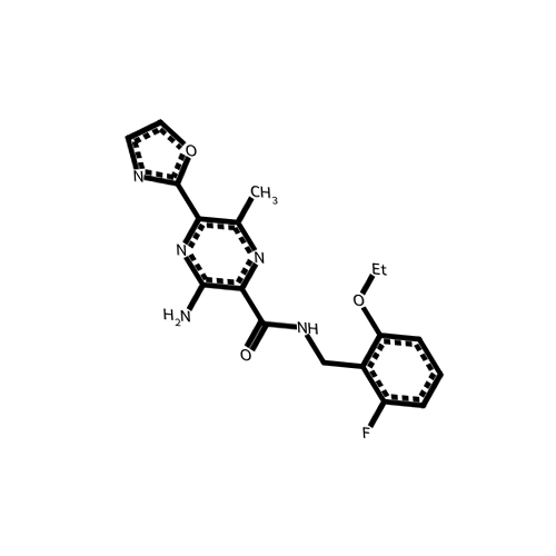 CCOc1cccc(F)c1CNC(=O)c1nc(C)c(-c2ncco2)nc1N